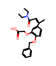 CCN(CC)C(=O)/C=C(/C)c1ccc(OCc2ccccc2)c(OCC(=O)O)c1